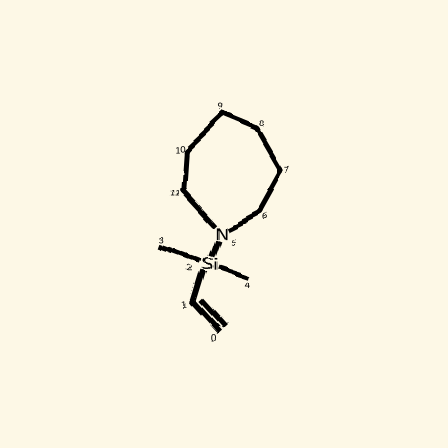 C=C[Si](C)(C)N1CCCCCC1